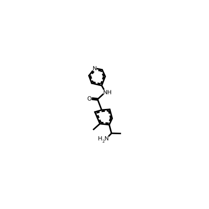 Cc1cc(C(=O)Nc2ccncc2)ccc1C(C)N